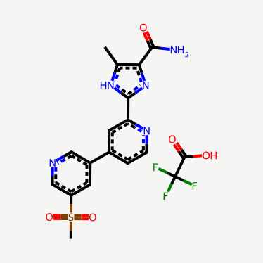 Cc1[nH]c(-c2cc(-c3cncc(S(C)(=O)=O)c3)ccn2)nc1C(N)=O.O=C(O)C(F)(F)F